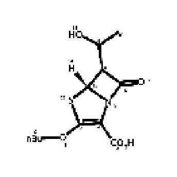 CCCCOC1=C(C(=O)O)N2C(=O)[C@H](C(C)O)[C@H]2S1